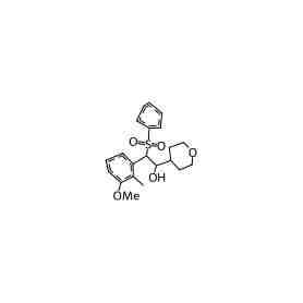 COc1cccc(C(C(O)C2CCOCC2)S(=O)(=O)c2ccccc2)c1C